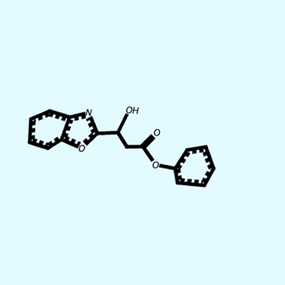 O=C(CC(O)c1nc2ccccc2o1)Oc1ccccc1